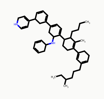 CCCCC1C(C)=C(C2=CC(CCCC(C)CC)=CCC2)CCC1C1=CC=C(C2=CC=CC(C3=CCNC=C3)C2)CC1NC1C=CC=CC1